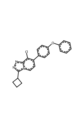 Clc1c(-c2ccc(Oc3ccccc3)cc2)ccn2c(C3CCC3)nnc12